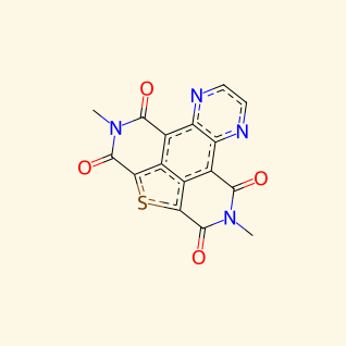 CN1C(=O)c2sc3c4c(c5nccnc5c(c24)C1=O)C(=O)N(C)C3=O